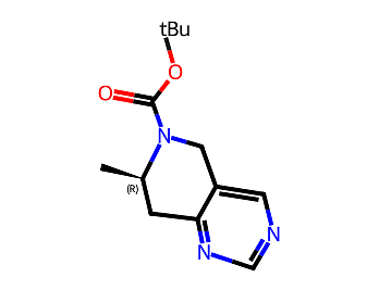 C[C@@H]1Cc2ncncc2CN1C(=O)OC(C)(C)C